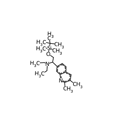 CCN(CC)C(CO[Si](C)(C)C(C)(C)C)c1ccc2cc(C)c(C)nc2c1